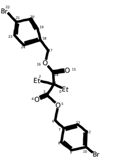 CCC(CC)(C(=O)OCc1ccc(Br)cc1)C(=O)OCc1ccc(Br)cc1